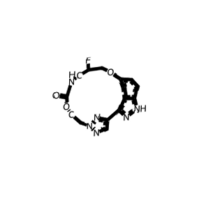 O=C1NCC(F)COc2ccc3[nH]nc(c3c2)-c2cnn(n2)CCO1